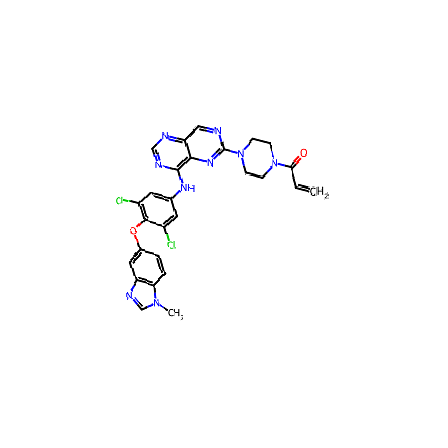 C=CC(=O)N1CCN(c2ncc3ncnc(Nc4cc(Cl)c(Oc5ccc6c(c5)ncn6C)c(Cl)c4)c3n2)CC1